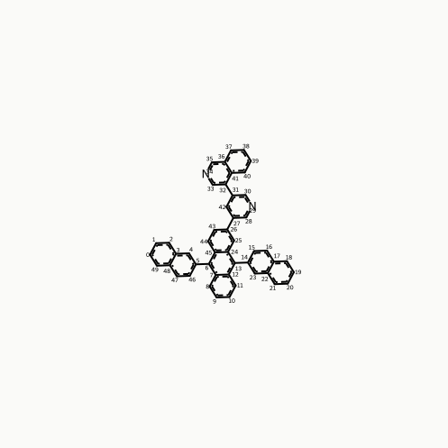 c1ccc2cc(-c3c4ccccc4c(-c4ccc5ccccc5c4)c4cc(-c5cncc(-c6cncc7ccccc67)c5)ccc34)ccc2c1